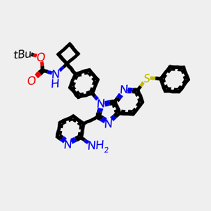 CC(C)(C)OC(=O)NC1(c2ccc(-n3c(-c4cccnc4N)nc4ccc(Sc5ccccc5)nc43)cc2)CCC1